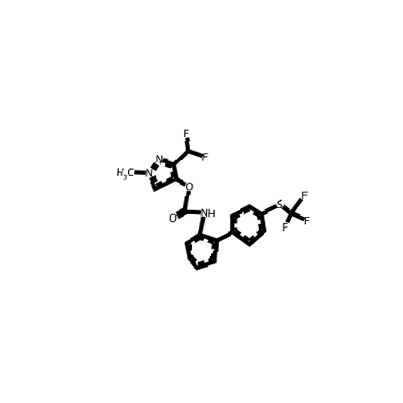 Cn1cc(OC(=O)Nc2ccccc2-c2ccc(SC(F)(F)F)cc2)c(C(F)F)n1